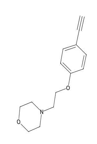 C#Cc1ccc(OCCN2CCOCC2)cc1